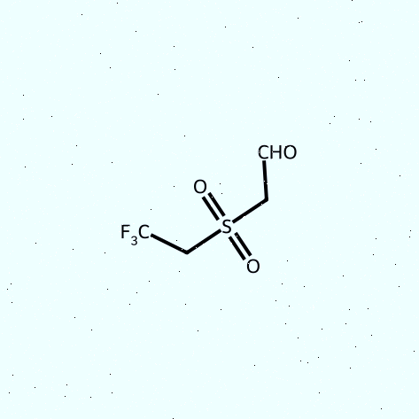 O=CCS(=O)(=O)CC(F)(F)F